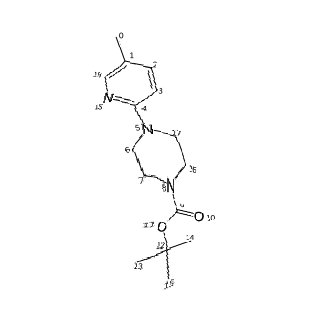 Cc1ccc(N2CCN(C(=O)OC(C)(C)C)CC2)nc1